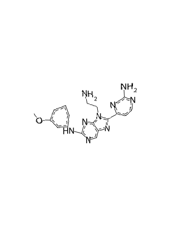 COc1cccc(Nc2ncc3nc(-c4ccnc(N)n4)n(CCN)c3n2)c1